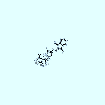 CC(C)[Si](O[C@H]1CCN(CCN2C(=O)c3ccccc3C2=O)C1=O)(C(C)C)C(C)C